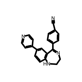 N#Cc1ccc(C2=NCCNc3ccc(-c4ccncc4)cc32)cc1